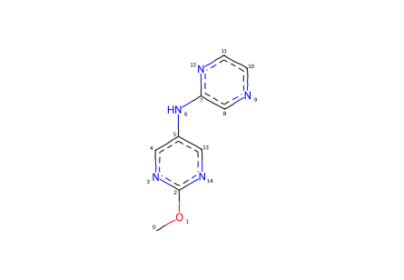 COc1ncc(Nc2cnccn2)cn1